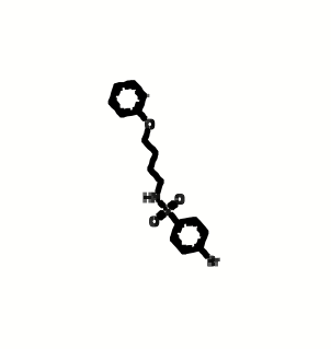 O=S(=O)(NCCCCOc1[c]cccc1)c1ccc(Br)cc1